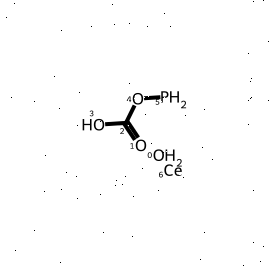 O.O=C(O)OP.[Ce]